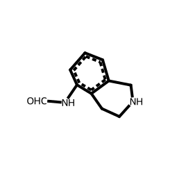 O=CNc1cccc2c1CCNC2